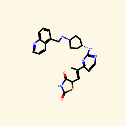 C/C(=C\C1SC(=O)NC1=O)c1ccnc(N[C@H]2CC[C@H](NCc3cccc4ncccc34)CC2)n1